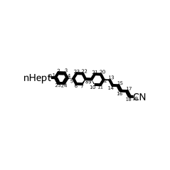 CCCCCCCc1ccc([C@H]2CC[C@H]([C@H]3CC[C@H](CCC=CC=CC#N)CC3)CC2)cc1